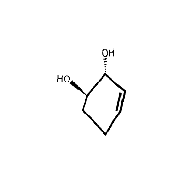 O[C@@H]1C=CCC[C@H]1O